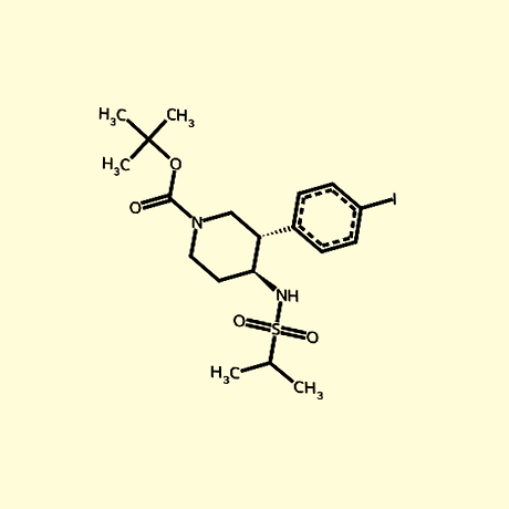 CC(C)S(=O)(=O)N[C@H]1CCN(C(=O)OC(C)(C)C)C[C@@H]1c1ccc(I)cc1